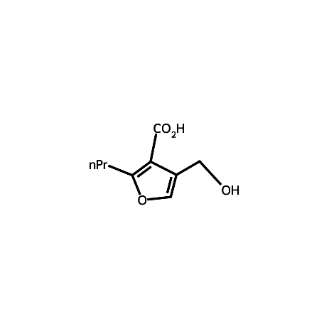 CCCc1occ(CO)c1C(=O)O